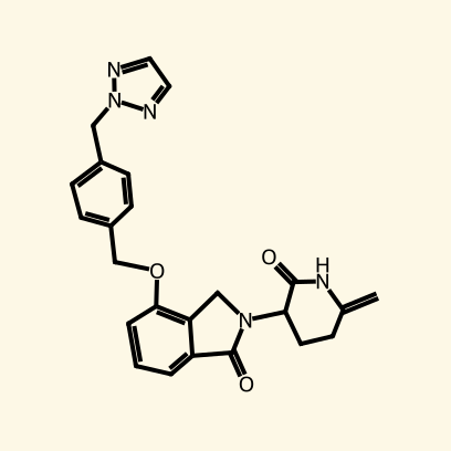 C=C1CCC(N2Cc3c(OCc4ccc(Cn5nccn5)cc4)cccc3C2=O)C(=O)N1